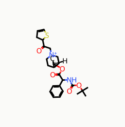 CC(C)(C)OC(=O)NC(C(=O)O[C@H]1C[N+]2(CC(=O)C3CC=CS3)CCC1CC2)c1ccccc1